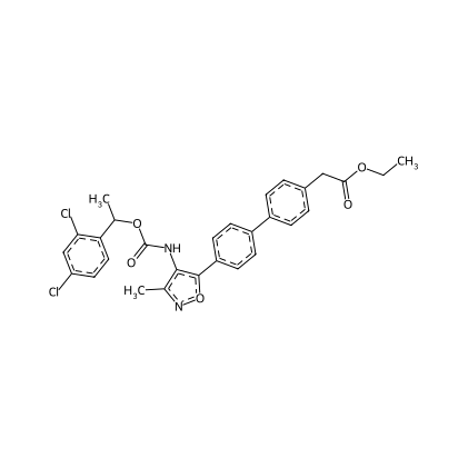 CCOC(=O)Cc1ccc(-c2ccc(-c3onc(C)c3NC(=O)OC(C)c3ccc(Cl)cc3Cl)cc2)cc1